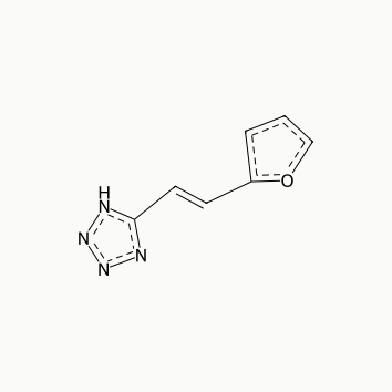 C(=Cc1ccco1)c1nnn[nH]1